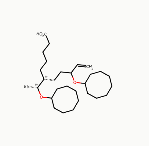 C=CC(CC[C@@H](CCCCC(=O)O)[C@@H](CC)OC1CCCCCCC1)OC1CCCCCCC1